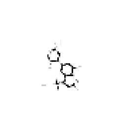 Cc1cc(C(C)(C)O)c2cc(-c3cc(Cl)ncc3F)cc(F)c2n1